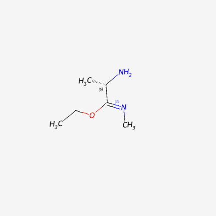 CCO/C(=N\C)[C@H](C)N